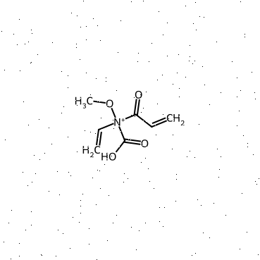 C=CC(=O)[N+](C=C)(OC)C(=O)O